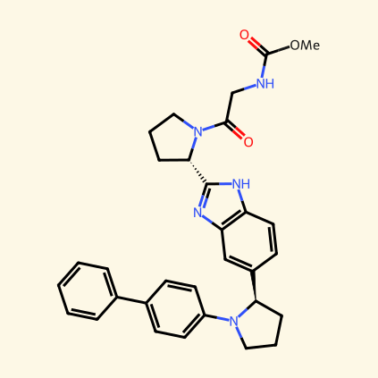 COC(=O)NCC(=O)N1CCC[C@H]1c1nc2cc([C@H]3CCCN3c3ccc(-c4ccccc4)cc3)ccc2[nH]1